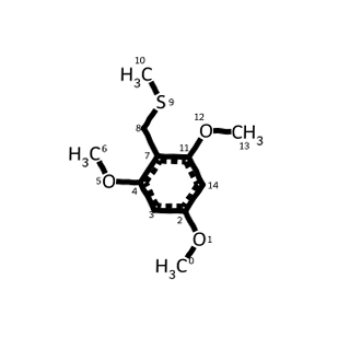 COc1cc(OC)c(CSC)c(OC)c1